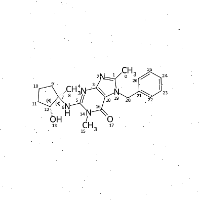 Cc1nc2nc(N[C@]3(C)CCC[C@H]3O)n(C)c(=O)c2n1Cc1ccccc1